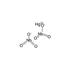 [Hg+2].[O]=[Nb](=[O])[O-].[O]=[Nb](=[O])[O-]